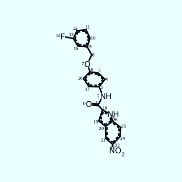 O=C(Nc1ccc(OCc2cccc(F)c2)cc1)c1cc2cc([N+](=O)[O-])ccc2[nH]1